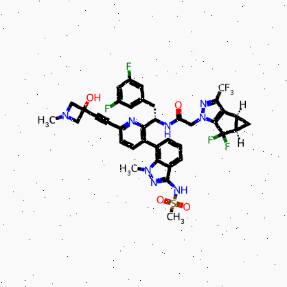 CN1CC(O)(C#Cc2ccc(-c3cccc4c(NS(C)(=O)=O)nn(C)c34)c([C@H](Cc3cc(F)cc(F)c3)NC(=O)Cn3nc(C(F)(F)F)c4c3C(F)(F)[C@@H]3C[C@H]43)n2)C1